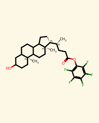 C[C@H](CCC(=O)Oc1c(F)c(F)c(F)c(F)c1F)[C@H]1CCC2C3CCC4CC(O)CC[C@]4(C)C3CC[C@@]21C